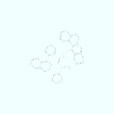 NC(/C=C(\NCc1c2ccccc2cc2ccc3ccccc3c12)c1ccccc1-c1cccc2ccccc12)c1ccccc1